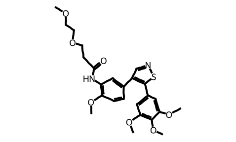 COCCOCCC(=O)Nc1cc(-c2cnsc2-c2cc(OC)c(OC)c(OC)c2)ccc1OC